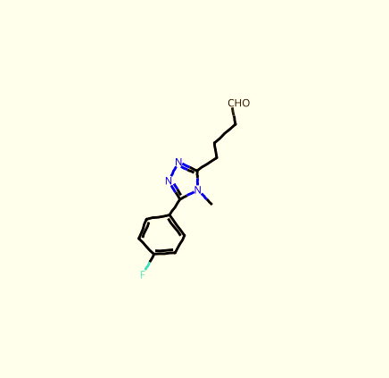 Cn1c(CCCC=O)nnc1-c1ccc(F)cc1